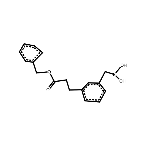 O=C(CCc1cccc(CB(O)O)c1)OCc1ccccc1